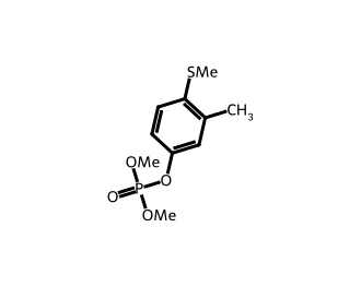 COP(=O)(OC)Oc1ccc(SC)c(C)c1